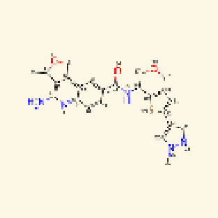 CC1OCc2c1c(N)nc1ccc(C(=O)NC3COCc4cc(-c5cnn(C)c5)sc43)cc21